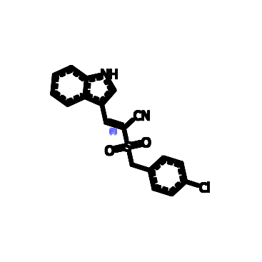 N#C/C(=C\c1c[nH]c2ccccc12)S(=O)(=O)Cc1ccc(Cl)cc1